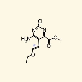 CCO/C=C/c1c(N)nc(Cl)nc1C(=O)OC